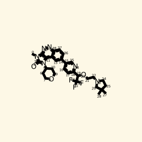 Cn1c(=O)n(C2CCOCC2)c2c3cc(-c4ccc(C(OCCN5CCC(C)(C)C5)C(F)(F)F)nc4)ccc3nnc21